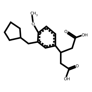 COc1ccc(C(CC(=O)O)CC(=O)O)cc1CC1CCCC1